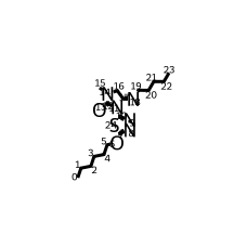 CCCCCCOc1nnc(N2C(=O)N(C)CC2=NCCCCC)s1